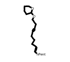 CCCCCC=CCCCC#CCCOC1CCCCO1